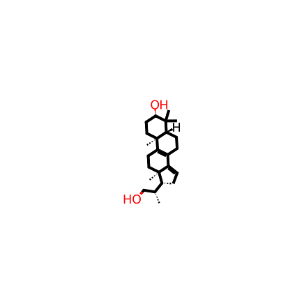 C[C@H](CO)[C@H]1CC=C2C3=C(CC[C@@]21C)[C@@]1(C)CC[C@H](O)C(C)(C)[C@@H]1CC3